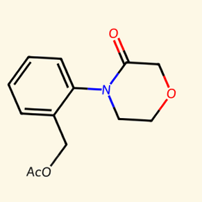 CC(=O)OCc1ccccc1N1CCOCC1=O